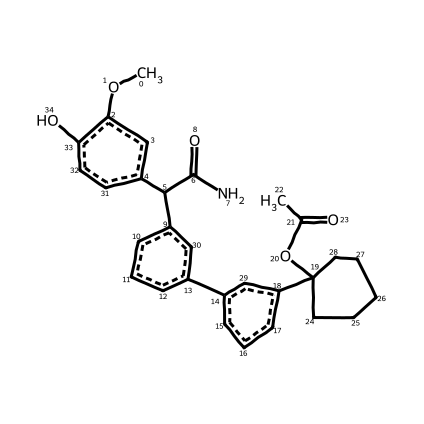 COc1cc(C(C(N)=O)c2cccc(-c3cccc(C4(OC(C)=O)CCCCC4)c3)c2)ccc1O